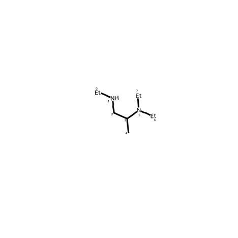 CCNCC(C)N(CC)CC